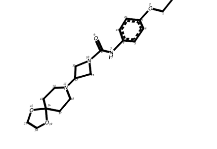 CCOc1ccc(NC(=O)N2CC(N3CCC4(CC3)OCCO4)C2)cc1